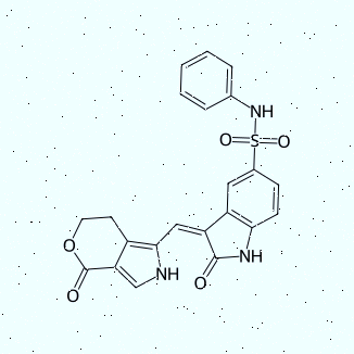 O=C1Nc2ccc(S(=O)(=O)Nc3ccccc3)cc2C1=Cc1[nH]cc2c1CCOC2=O